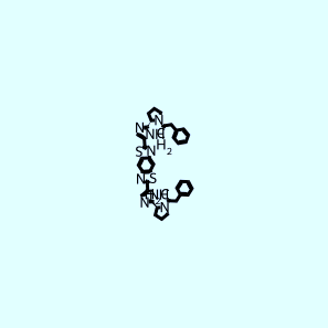 C=C(Cc1ccccc1)N1CCC[C@H]1c1ncc(-c2nc3cc4sc(-c5cnc([C@@H]6CCCN6C(=C)Cc6ccccc6)[nH]5)nc4cc3s2)[nH]1